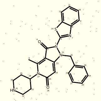 Cc1c2c(=O)n(-c3nc4ccccc4s3)n(Cc3ccccc3)c2cc(=O)n1C1CCNCC1